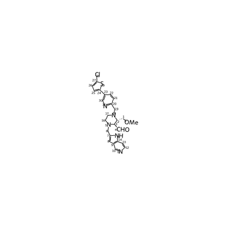 COC[C@@H]1C(C=O)N(Cc2cc3cnccc3[nH]2)CCN1Cc1ccc(-c2ccc(Cl)s2)cn1